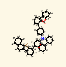 c1ccc(-c2ccccc2N(c2ccc(-c3cccc4c3oc3ccccc34)cc2)c2ccc(-c3cccc4c3sc3c5ccccc5ccc43)cc2)cc1